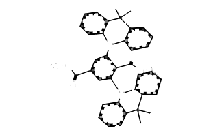 COC(=O)c1cc(N2c3ccccc3C(C)(C)c3ccccc32)c(C(=O)OC)c(N2c3ccccc3C(C)(C)c3ccccc32)c1